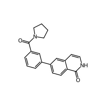 O=C(c1cccc(-c2ccc3c(=O)[nH]ccc3c2)c1)N1CCCC1